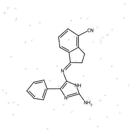 N#Cc1cccc2c1CCC2=Nc1[nH]c(N)nc1-c1ccccc1